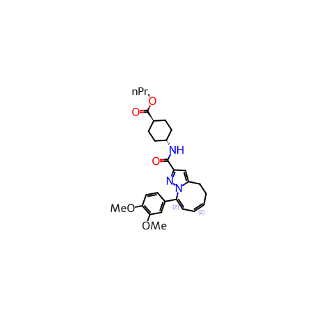 CCCOC(=O)[C@H]1CC[C@H](NC(=O)c2cc3n(n2)/C(c2ccc(OC)c(OC)c2)=C\C=C/CC3)CC1